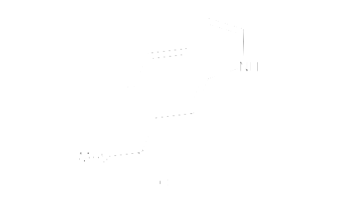 CSC(=O)c1ccc2cc[nH]c2c1